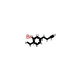 C#CCCc1ccc(CC)c(Br)c1